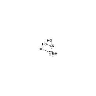 Br.Cl.N#CO.N#CO